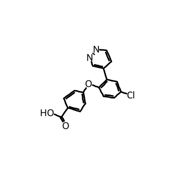 O=C(O)c1ccc(Oc2ccc(Cl)cc2-c2ccnnc2)cc1